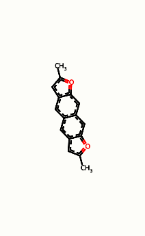 Cc1cc2cc3cc4cc(C)oc4cc3cc2o1